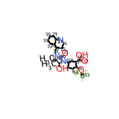 CC1(C)C(O)N(c2ccc(OC(F)(F)F)c(C(=O)O)c2)C(=O)N1Cc1ccnc2ccccc12